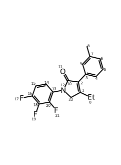 CCC1=C(c2cccc(C)c2)C(=O)N(c2ccc(F)c(F)c2F)C1